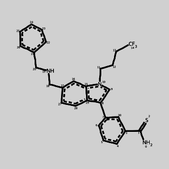 NC(=S)c1cccc(-c2cn(CCCC(F)(F)F)c3cc(CNCc4ccccc4)ccc23)c1